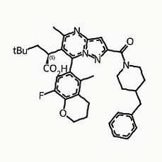 Cc1nc2cc(C(=O)N3CCC(Cc4ccccc4)CC3)nn2c(-c2cc(F)c3c(c2C)CCCO3)c1[C@H](CC(C)(C)C)C(=O)O